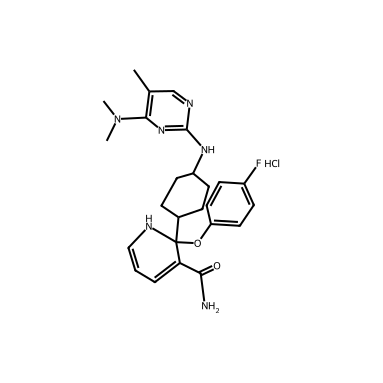 Cc1cnc(NC2CCC(C3(Oc4ccc(F)cc4)NC=CC=C3C(N)=O)CC2)nc1N(C)C.Cl